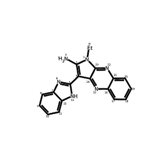 CCn1c(N)c(-c2nc3ccccc3[nH]2)c2nc3ccccc3nc21